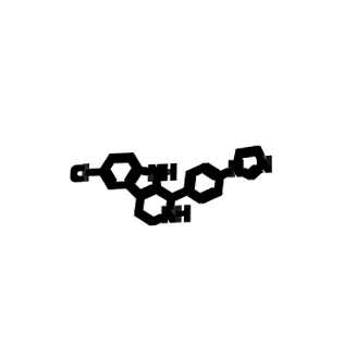 Clc1ccc2[nH]c3c(c2c1)CCNC3c1ccc(-n2ccnc2)cc1